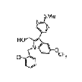 CSc1ncc(-c2c(CO)n(Cc3ccccc3Cl)c3ccc(OC(F)(F)F)cc23)cn1